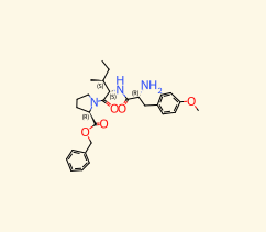 CC[C@H](C)[C@H](NC(=O)[C@H](N)Cc1ccc(OC)cc1)C(=O)N1CCC[C@@H]1C(=O)OCc1ccccc1